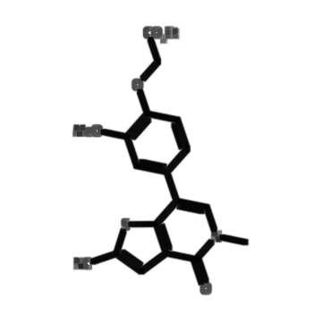 CCOC(=O)COc1ccc(-c2cn(C)c(=O)c3cc(C#N)sc23)cc1OC